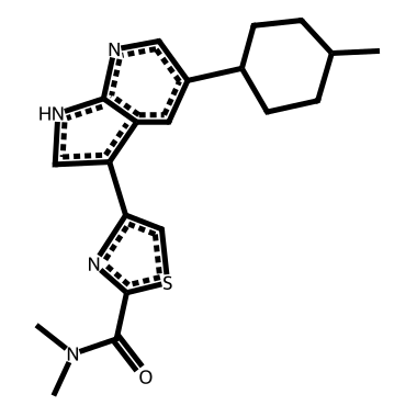 CC1CCC(c2cnc3[nH]cc(-c4csc(C(=O)N(C)C)n4)c3c2)CC1